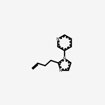 C=CCCc1nccn1-c1cccnc1